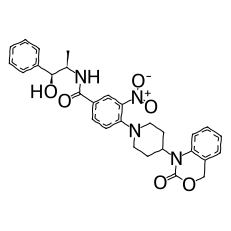 C[C@@H](NC(=O)c1ccc(N2CCC(N3C(=O)OCc4ccccc43)CC2)c([N+](=O)[O-])c1)[C@@H](O)c1ccccc1